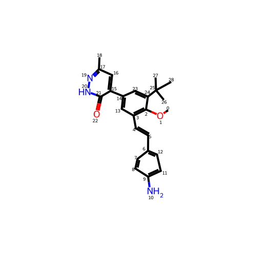 COc1c(/C=C/c2ccc(N)cc2)cc(-c2cc(C)n[nH]c2=O)cc1C(C)(C)C